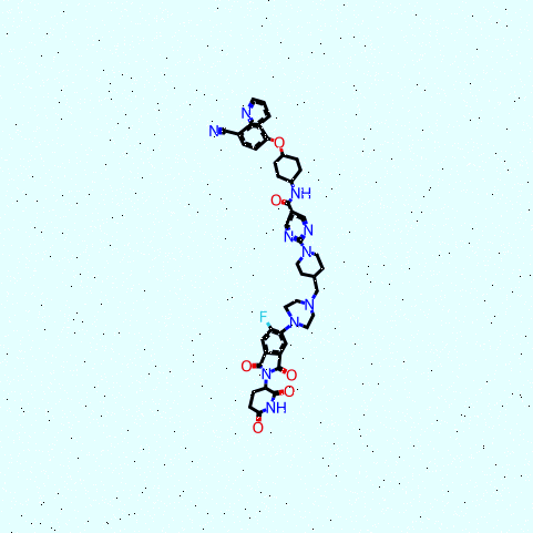 N#Cc1ccc(OC2CCC(NC(=O)c3cnc(N4CCC(CN5CCN(c6cc7c(cc6F)C(=O)N(C6CCC(=O)NC6=O)C7=O)CC5)CC4)nc3)CC2)c2cccnc12